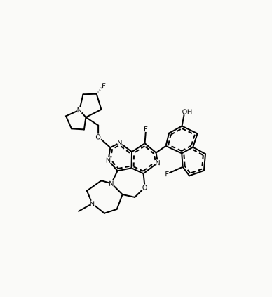 CN1CCC2COc3nc(-c4cc(O)cc5cccc(F)c45)c(F)c4nc(OCC56CCCN5C[C@H](F)C6)nc(c34)N2CC1